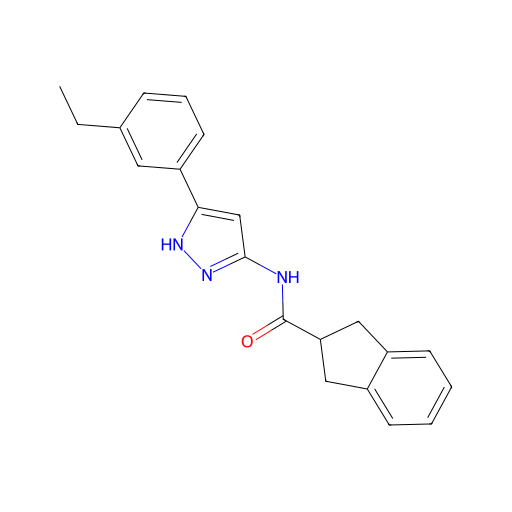 CCc1cccc(-c2cc(NC(=O)C3Cc4ccccc4C3)n[nH]2)c1